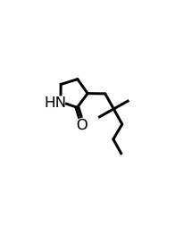 CCCC(C)(C)CC1CCNC1=O